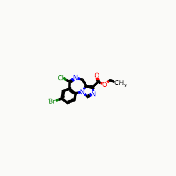 CCOC(=O)c1ncn2c1CN=C(Cl)c1cc(Br)ccc1-2